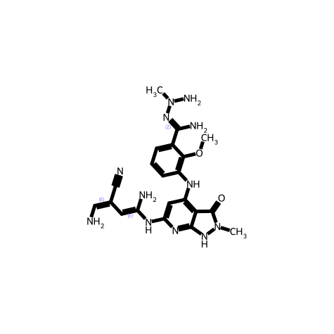 COc1c(Nc2cc(N/C(N)=C/C(C#N)=C\N)nc3[nH]n(C)c(=O)c23)cccc1/C(N)=N/N(C)N